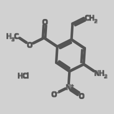 C=Cc1cc(N)c([N+](=O)[O-])cc1C(=O)OC.Cl